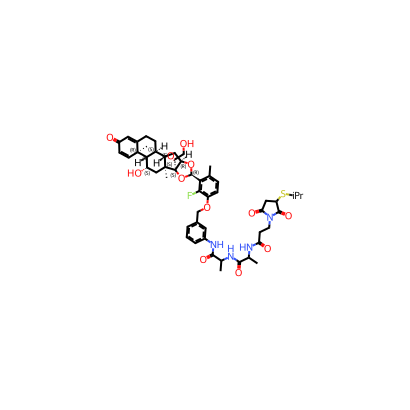 Cc1ccc(OCc2cccc(NC(=O)C(C)NC(=O)C(C)NC(=O)CCN3C(=O)CC(SC(C)C)C3=O)c2)c(F)c1[C@@H]1O[C@@H]2C[C@H]3[C@@H]4CCC5=CC(=O)C=C[C@]5(C)[C@H]4[C@@H](O)C[C@]3(C)[C@]2(C(=O)CO)O1